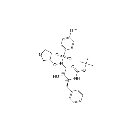 COc1ccc(S(=O)(=O)N(C[C@@H](O)[C@H](Cc2ccccc2)NC(=O)OC(C)(C)C)OC2CCOC2)cc1